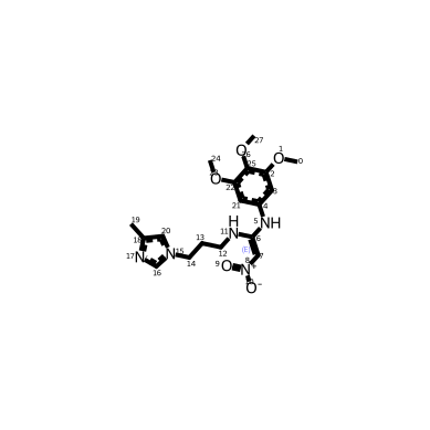 COc1cc(N/C(=C/[N+](=O)[O-])NCCCn2cnc(C)c2)cc(OC)c1OC